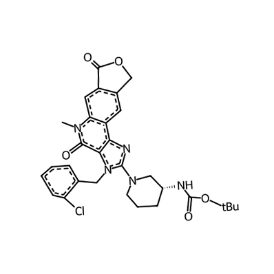 Cn1c(=O)c2c(nc(N3CCC[C@@H](NC(=O)OC(C)(C)C)C3)n2Cc2ccccc2Cl)c2cc3c(cc21)C(=O)OC3